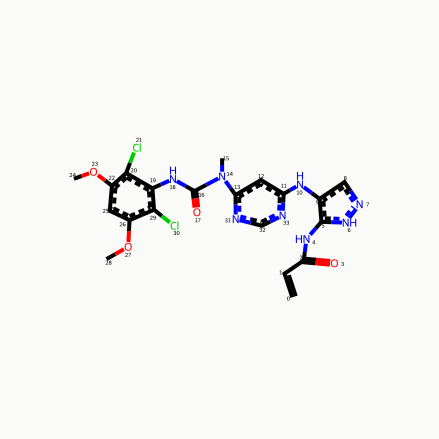 C=CC(=O)Nc1[nH]ncc1Nc1cc(N(C)C(=O)Nc2c(Cl)c(OC)cc(OC)c2Cl)ncn1